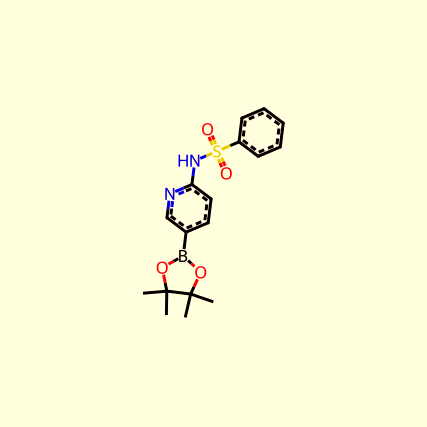 CC1(C)OB(c2ccc(NS(=O)(=O)c3ccccc3)nc2)OC1(C)C